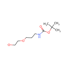 CC(C)(C)OC(=O)NCCCOCC[O]